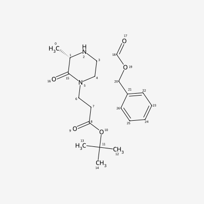 C[C@@H]1NCCN(CCC(=O)OC(C)(C)C)C1=O.O=COCc1ccccc1